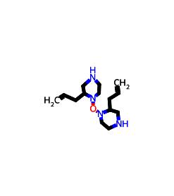 C=CCC1CNCCN1ON1CCNCC1CC=C